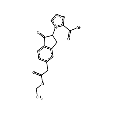 CCOC(=O)Cc1ccc2c(c1)CC(n1ccnc1C(=O)O)C2=O